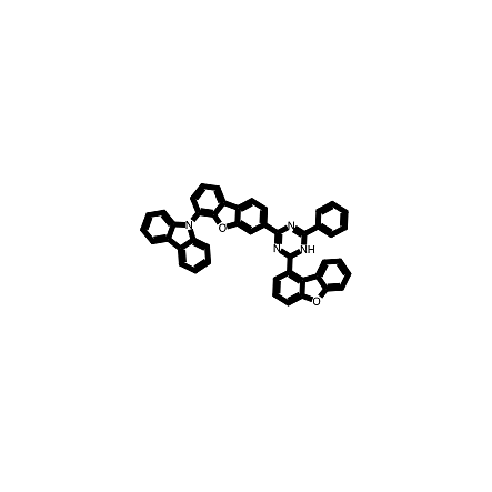 c1ccc(C2=NC(c3ccc4c(c3)oc3c(-n5c6ccccc6c6ccccc65)cccc34)=NC(c3cccc4oc5ccccc5c34)N2)cc1